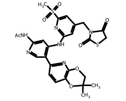 CC(=O)Nc1cc(Nc2cc(CN3C(=O)CSC3=O)cc(S(C)(=O)=O)n2)c(-c2ccc3c(n2)OCC(C)(C)O3)cn1